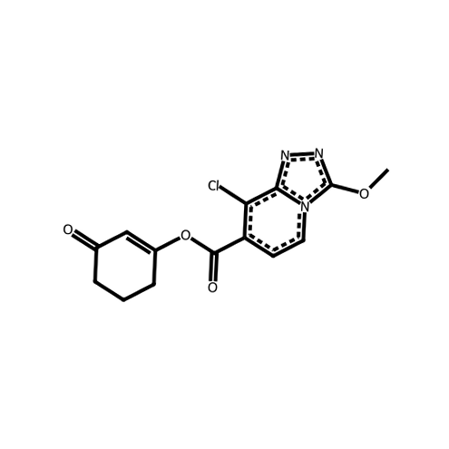 COc1nnc2c(Cl)c(C(=O)OC3=CC(=O)CCC3)ccn12